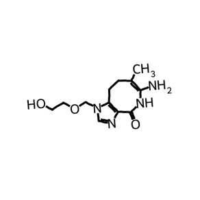 C/C1=C(\N)NC(=O)c2ncn(COCCO)c2CC1